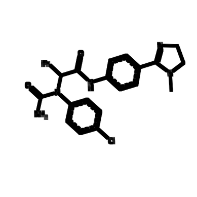 CC(C)C(C(=O)Nc1ccc(C2=NCCN2C)cc1)N(C(N)=O)c1ccc(Cl)cc1